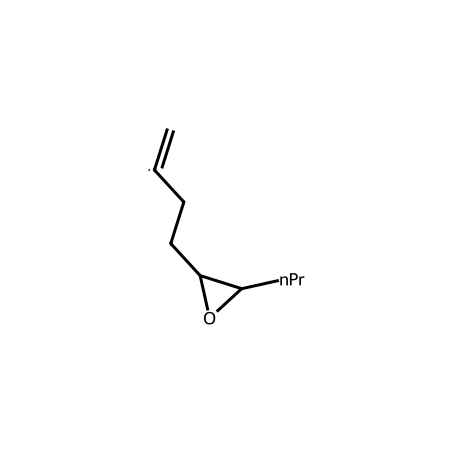 C=[C]CCC1OC1CCC